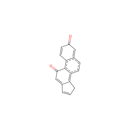 O=C1C=Cc2c3c(ccc2=C1)=C1CC=CC1=CC3=O